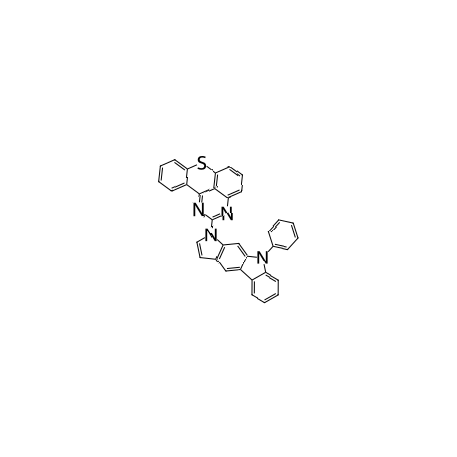 c1ccc(-n2c3ccccc3c3cc4ccn(-c5nc6c7c(cccc7n5)Sc5ccccc5-6)c4cc32)cc1